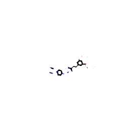 CONC(=O)c1cc(CCc2cnc(Nc3ccc(N4C=C(C)N[C@@H](C)C4)c(C)c3)nc2)cc(OC)c1